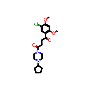 COc1cc(OC)c(C(=O)CCC(=O)N2CCN(C3CCCC3)CC2)cc1Cl